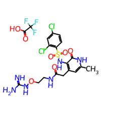 Cc1cc(CC(=O)NCCONC(=N)N)c(NS(=O)(=O)c2ccc(Cl)cc2Cl)c(=O)[nH]1.O=C(O)C(F)(F)F